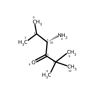 CC(C)[C@H](N)C(=O)C(C)(C)C